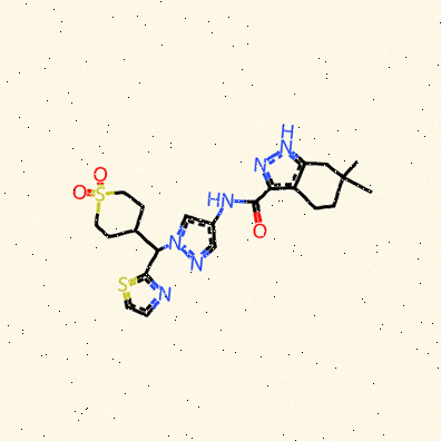 CC1(C)CCc2c(C(=O)Nc3cnn(C(c4nccs4)C4CCS(=O)(=O)CC4)c3)n[nH]c2C1